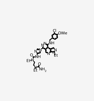 CCN(CCN(CC)C(=O)Nc1cn(-c2nnc(NCc3ccc(OC)c(Cl)c3)c3c2cnc2c3cnn2CC)cn1)C(N)=O